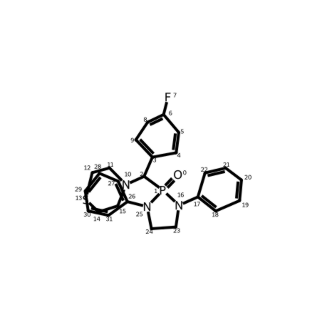 O=P1(C(c2ccc(F)cc2)N2CCSCC2)N(c2ccccc2)CCN1c1ccccc1